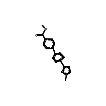 COC(=O)c1ccc(-c2ccc(-c3ccn(C)n3)cc2)cc1